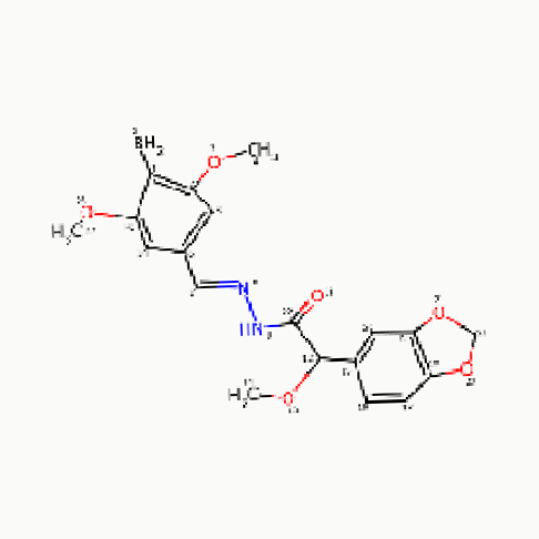 Bc1c(OC)cc(/C=N/NC(=O)C(OC)c2ccc3c(c2)OCO3)cc1OC